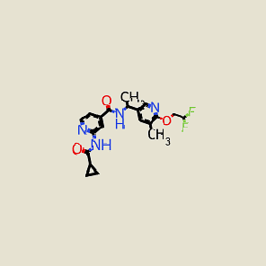 Cc1cc(C(C)NC(=O)c2ccnc(NC(=O)C3CC3)c2)cnc1OCC(F)F